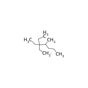 [CH2]CC(CC)(CC)C(C)CCC